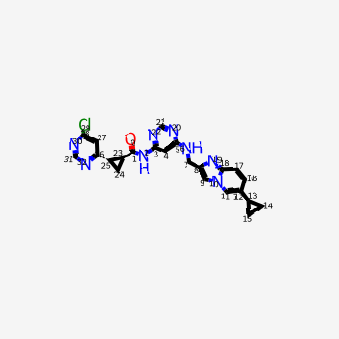 O=C(Nc1cc(NCc2cn3cc(C4CC4)ccc3n2)ncn1)[C@H]1C[C@@H]1c1cc(Cl)ncn1